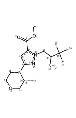 COC(=O)c1cc(N2CCOC[C@H]2C)nn1CC(N)C(F)(F)F